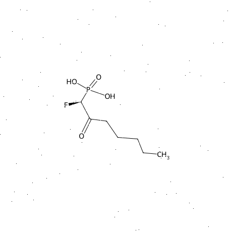 CCCCCC(=O)[C@@H](F)P(=O)(O)O